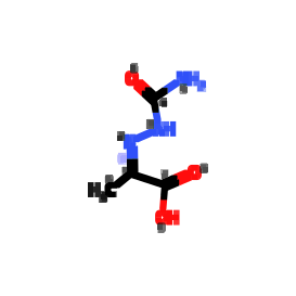 C/C(=N/NC(N)=O)C(=O)O